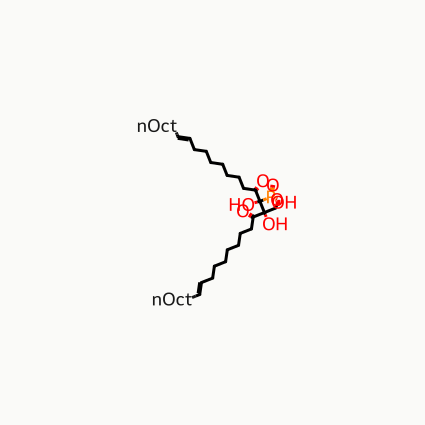 CCCCCCCCC=CCCCCCCCC(=O)C(O)(CO)C(O)(C(=O)CCCCCCCC=CCCCCCCCC)P(=O)=O